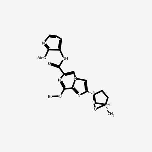 CCOc1nc(C(=O)Nc2cccnc2OC)cn2cc([C@]34CC[C@](C)(C3)OC4)nc12